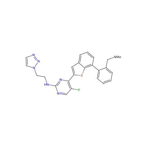 CNCc1ccccc1-c1cccc2cc(-c3nc(NCCn4ccnn4)ncc3F)sc12